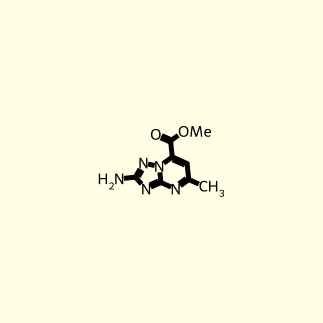 COC(=O)c1cc(C)nc2nc(N)nn12